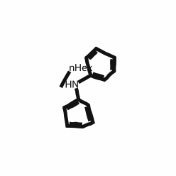 CCCCCCC.c1ccc(Nc2ccccc2)cc1